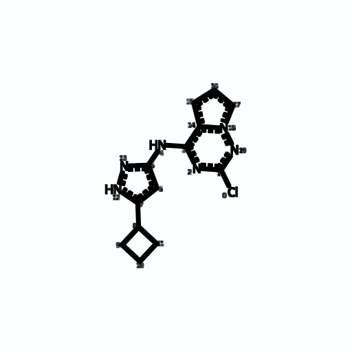 Clc1nc(Nc2cc(C3CCC3)[nH]n2)c2cccn2n1